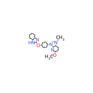 CCN1CN(c2ccc(Oc3nc4ccccc4[nH]3)cc2)c2nc(OC)ccc21